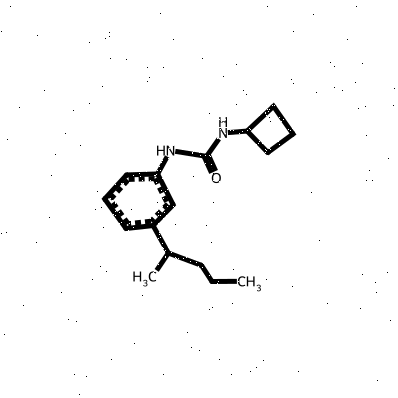 CCCC(C)c1cccc(NC(=O)NC2CCC2)c1